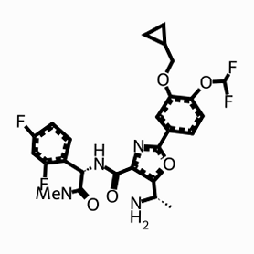 CNC(=O)[C@@H](NC(=O)c1nc(-c2ccc(OC(F)F)c(OCC3CC3)c2)oc1[C@H](C)N)c1ccc(F)cc1F